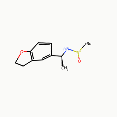 C[C@H](N[S+]([O-])C(C)(C)C)c1ccc2c(c1)CCO2